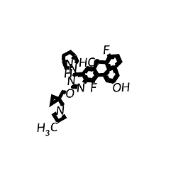 C#Cc1c(F)ccc2cc(O)cc(-c3c(F)cc4c(N5CC6CCC(C5)N6)nc(OCC5(CN6CC(C)C6)CC5)nc4c3F)c12